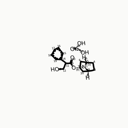 CN1[C@@H]2CC[C@H]1C[C@@H](OC(=O)C(CO)c1ccccc1)C2.O=S(O)O